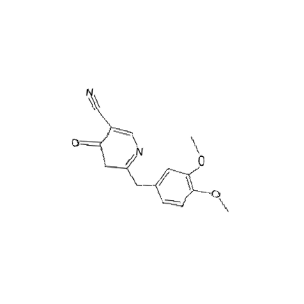 COc1ccc(CC2=NC=C(C#N)C(=O)C2)cc1OC